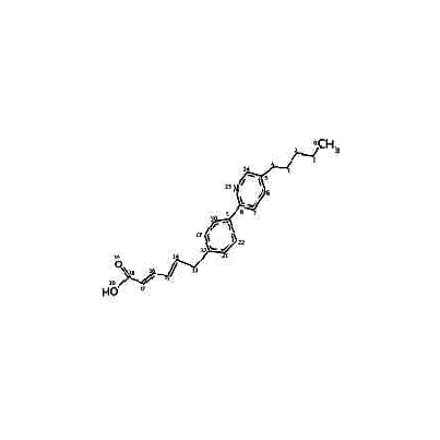 CCCCCc1ccc(-c2ccc(C/C=C/C=C/C(=O)O)cc2)nc1